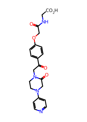 O=C(O)CNC(=O)COc1ccc(C(=O)CN2CCN(c3ccncc3)CC2=O)cc1